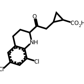 O=C(CC1CC1C(=O)O)C1CCc2cc(Cl)cc(Cl)c2N1